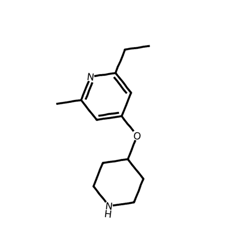 CCc1cc(OC2CCNCC2)cc(C)n1